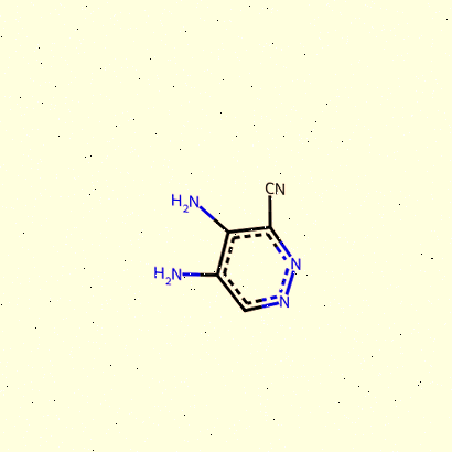 N#Cc1nncc(N)c1N